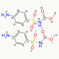 COC(=O)NS(=O)(=O)c1ccc(N)cc1.COC(=O)NS(=O)(=O)c1ccc(N)cc1